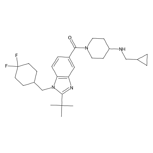 CC(C)(C)c1nc2cc(C(=O)N3CCC(NCC4CC4)CC3)ccc2n1CC1CCC(F)(F)CC1